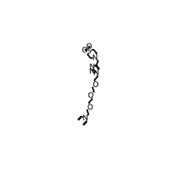 C=CN(C=C)CCOCCOCCOCCn1cc(CN2CCS(=O)(=O)CC2)nn1